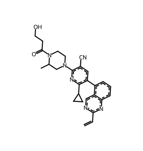 C=Cc1ncc2c(-c3cc(C#N)c(N4CCN(C(=O)CCO)C(C)C4)nc3C3CC3)cccc2n1